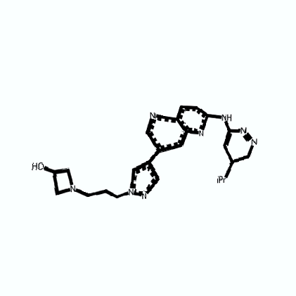 CC(C)C1C=C(Nc2ccc3ncc(-c4cnn(CCCN5CC(O)C5)c4)cc3n2)N=NC1